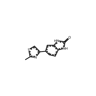 Cc1nc(-c2ccc3[nH]c(=O)[nH]c3c2)cs1